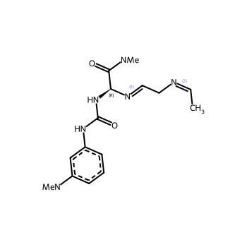 C/C=N\C/C=N/[C@@H](NC(=O)Nc1cccc(NC)c1)C(=O)NC